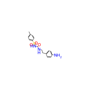 Cc1ccc(S(=O)(=O)NC(=O)NCCc2ccc(N)cc2)cc1